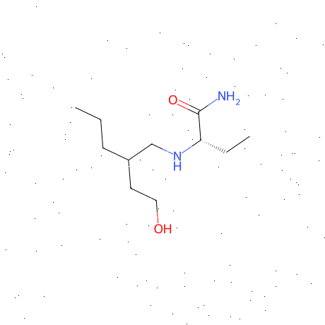 CCCC(CCO)CN[C@@H](CC)C(N)=O